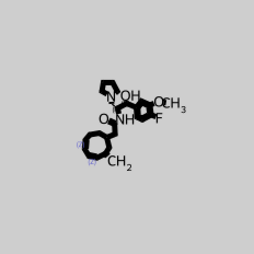 C=C1/C=C\C=C/CCC(CC(=O)N[C@H](CN2CCCC2)[C@H](O)c2ccc(F)c(OC)c2)C1